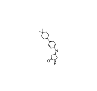 CC1(C)CCC(c2ccc(N=C3CNC(=O)C3)cc2)CC1